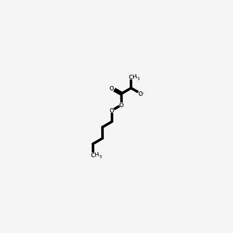 CCCCCOOC(=O)C(C)[O]